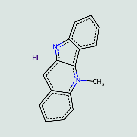 Cn1c2c3ccccc3nc-2cc2ccccc21.I